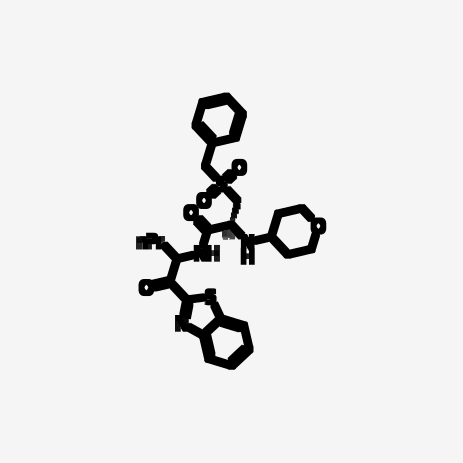 CCCC(NC(=O)[C@H](CS(=O)(=O)Cc1ccccc1)NC1CCOCC1)C(=O)c1nc2ccccc2s1